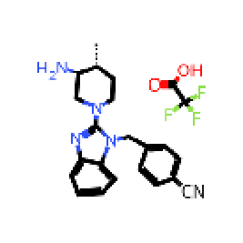 C[C@@H]1CCN(c2nc3ccccc3n2Cc2ccc(C#N)cc2)C[C@H]1N.O=C(O)C(F)(F)F